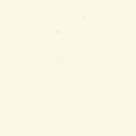 COC(=O)N(C)CONCc1ccc2ccc3cccc4ccc1c2c34